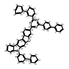 c1ccc(-c2ccc(-c3nc(-c4cccc(-c5ccccc5)c4)nc(-c4ccc5c(c4)oc4cc6c(cc45)c4ccccc4n6-c4cccc(-c5ccccc5)c4)n3)cc2)cc1